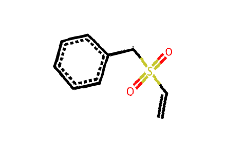 C=CS(=O)(=O)[CH]c1ccccc1